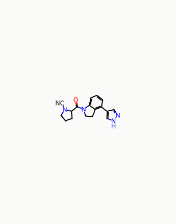 N#CN1CCCC1C(=O)N1CCc2c(-c3cn[nH]c3)cccc21